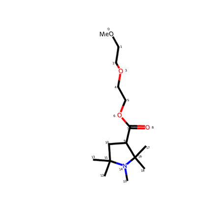 COCCOCCOC(=O)C1CC(C)(C)N(C)C1(C)C